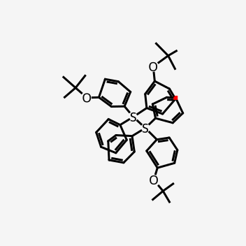 CC(C)(C)Oc1cccc(S(c2ccccc2)(c2ccccc2)S(c2ccccc2)(c2cccc(OC(C)(C)C)c2)c2cccc(OC(C)(C)C)c2)c1